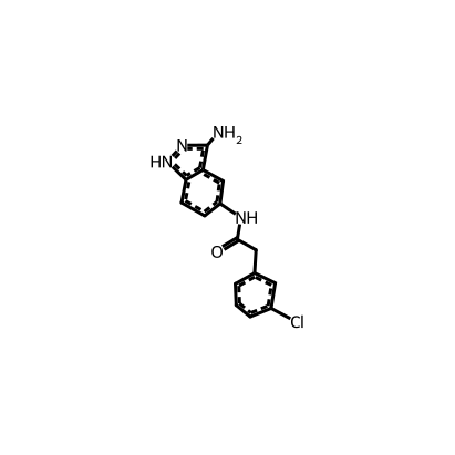 Nc1n[nH]c2ccc(NC(=O)Cc3cccc(Cl)c3)cc12